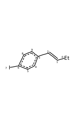 [CH2]CC=Cc1ccc(I)cc1